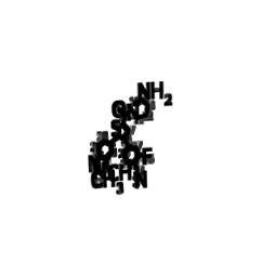 Cc1c2cc(-c3sc(C(=O)N4CCCC(N)C4)cc3-c3ccc(C#N)c(F)c3)ccc2nn1C